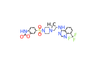 C[C@@H](CN1CCN(S(=O)(=O)c2ccc3[nH]c(=O)oc3c2)CC1)Nc1ncnc2c(C(F)(F)F)cccc12